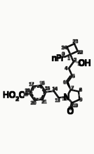 CCCC1([C@H](O)CC=C[C@H]2CCC(=O)N2CCc2ccc(C(=O)O)cc2)CCC1